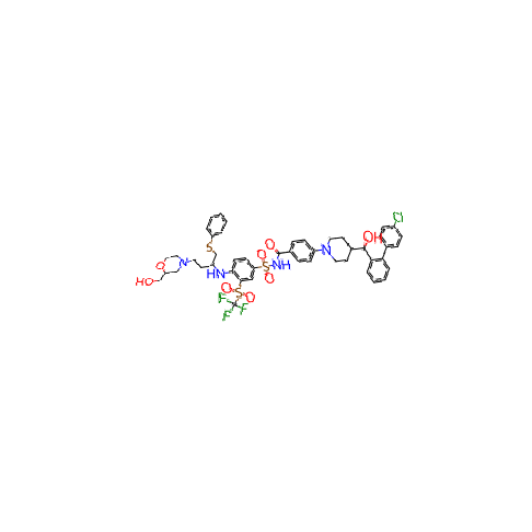 O=C(NS(=O)(=O)c1ccc(NC(CCN2CCOC(CO)C2)CSc2ccccc2)c(S(=O)(=O)C(F)(F)F)c1)c1ccc(N2CCC([C@@H](O)c3ccccc3-c3ccc(Cl)cc3)CC2)cc1